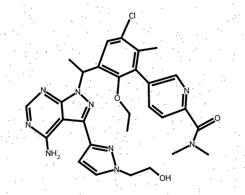 CCOc1c(C(C)n2nc(-c3ccn(CCO)n3)c3c(N)ncnc32)cc(Cl)c(C)c1-c1ccc(C(=O)N(C)C)nc1